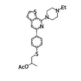 CCN1CCN(c2nc(-c3ccc(SCC(C)OC(C)=O)cc3)cc3ccsc23)CC1